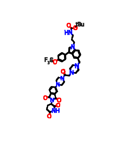 CC(C)(C)OC(=O)NCCCn1cc(-c2ccc(OC(F)(F)F)cc2)c2cc(CN3CCN(CC(=O)N4CCN(c5ccc6c(c5)C(=O)N(C5CCC(=O)NC5=O)C6=O)CC4)CC3)ccc21